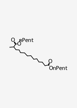 CCCCCOC(=O)CCCCCCCCCCCC(C)C(=O)OCCCCC